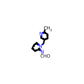 Cc1ccc(Cn2cccc/c2=N\C=O)cn1